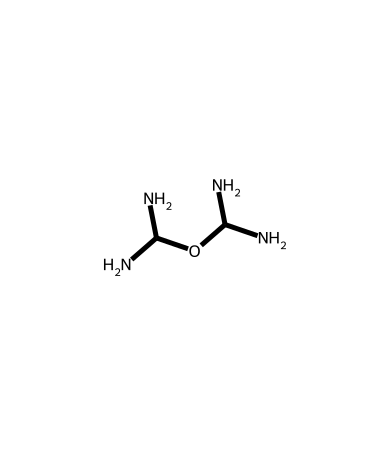 NC(N)OC(N)N